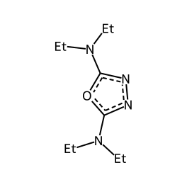 CCN(CC)c1nnc(N(CC)CC)o1